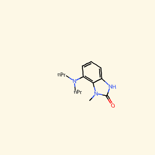 CCCN(CCC)c1cccc2[nH]c(=O)n(C)c12